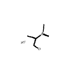 CC(CCl)N(C)C.Cl